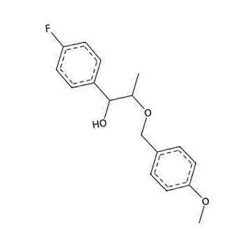 COc1ccc(COC(C)C(O)c2ccc(F)cc2)cc1